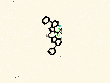 CCC1=Cc2c(-c3ccccc3)ccc(F)c2[CH]1[Zr]([Cl])([Cl])([CH]1C(CC)=Cc2c(-c3ccccc3)ccc(F)c21)=[Si](C)C